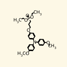 CCOP(=O)(CCCOc1ccc(N(c2ccc(OC)cc2)c2ccc(OC)cc2)cc1)OCC